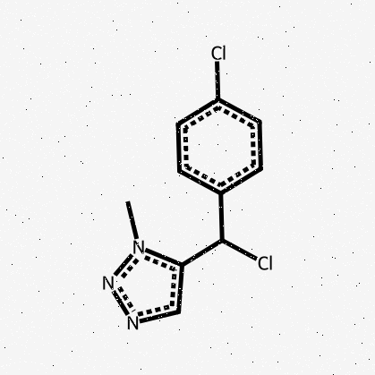 Cn1nncc1C(Cl)c1ccc(Cl)cc1